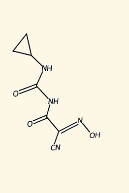 N#CC(=NO)C(=O)NC(=O)NC1CC1